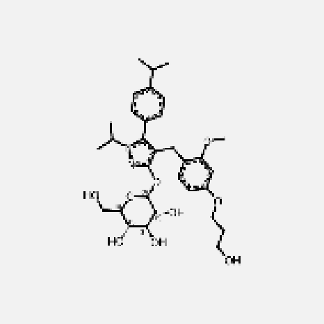 COc1cc(OCCCO)ccc1Cc1c(O[C@@H]2O[C@H](CO)[C@@H](O)[C@H](O)[C@H]2O)nn(C(C)C)c1-c1ccc(C(C)C)cc1